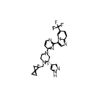 FC(F)(F)c1ccc2ncc(-c3nccc(N4CCN(C[C@@H]5CC56CC6)[C@@H](c5cn[nH]c5)C4)n3)n2c1